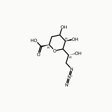 [N-]=[N+]=NC[C@@H](O)C1O[C@@H](C(=O)O)CC(O)[C@H]1O